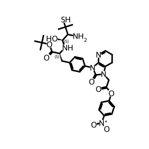 CC(C)(C)OC(=O)[C@H](Cc1ccc(-n2c3c(n(CC(=O)Oc4ccc([N+](=O)[O-])cc4)c2=O)CCC=N3)cc1)N[C@@H](O)C(N)C(C)(C)S